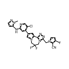 Cn1nccc1Nc1cc(-c2cc3n(c2)CC(F)(F)Cn2c(Cn4ccc(F)c4C#N)nnc2-3)c(Cl)cn1